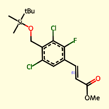 COC(=O)/C=C/c1cc(Cl)c(CO[Si](C)(C)C(C)(C)C)c(Cl)c1F